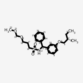 CC[C@H](C)COc1cccc(C(NS(=O)(=O)CCCOCOC)c2ccccc2)c1